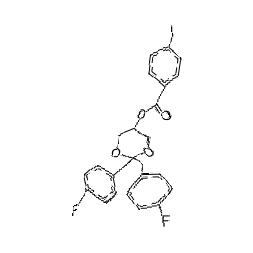 O=C(OC1COC(c2ccc(F)cc2)(c2ccc(F)cc2)OC1)c1ccc(I)cc1